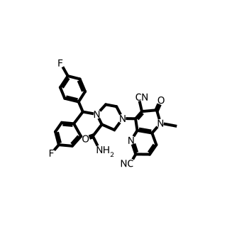 Cn1c(=O)c(C#N)c(N2CCN(C(c3ccc(F)cc3)c3ccc(F)cc3)C(C(N)=O)C2)c2nc(C#N)ccc21